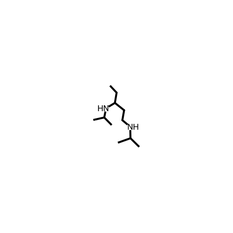 CCC(CCNC(C)C)NC(C)C